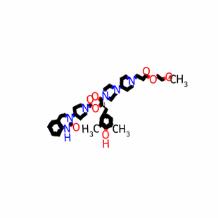 COCCOC(=O)CCN1CCC(N2CCN(C(=O)[C@@H](Cc3cc(C)c(O)c(C)c3)OC(=O)N3CCC(N4CCc5ccccc5NC4=O)CC3)CC2)CC1